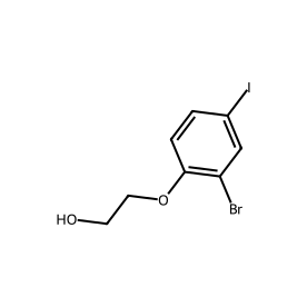 OCCOc1ccc(I)cc1Br